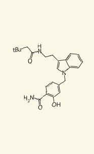 CC(C)(C)CC(=O)NCCc1cn(Cc2ccc(C(N)=O)c(O)c2)c2ccccc12